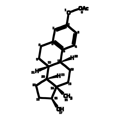 CC(=O)OOc1ccc2c(c1)CC[C@@H]1[C@@H]2CC[C@]2(C)[C@@H](O)CC[C@@H]12